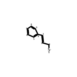 [S]C/C=C/c1ccccc1